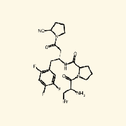 CC(C)CC(N)C(=O)N1CCCC1C(=O)N[C@@H](CC(=O)N1CCCC1C#N)Cc1cc(F)c(F)cc1F